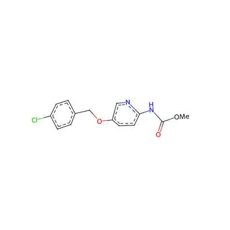 COC(=O)Nc1ccc(OCc2ccc(Cl)cc2)cn1